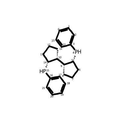 c1ccc(P[C@@H]2CCC[C@@H]2[C@H]2CCC[C@H]2Pc2ccccc2)cc1